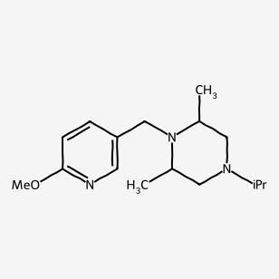 COc1ccc(CN2C(C)CN(C(C)C)CC2C)cn1